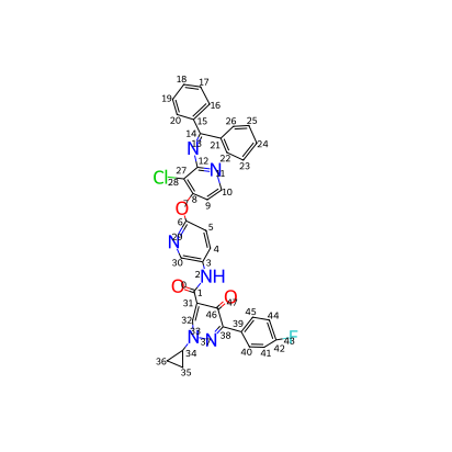 O=C(Nc1ccc(Oc2ccnc(N=C(c3ccccc3)c3ccccc3)c2Cl)nc1)c1cn(C2CC2)nc(-c2ccc(F)cc2)c1=O